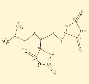 CC(C)CCC(CCC1CC(=O)OC1=O)C1CC(=O)OC1=O